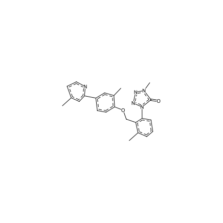 Cc1ccnc(-c2ccc(OCc3c(C)cccc3-n3nnn(C)c3=O)c(C)c2)c1